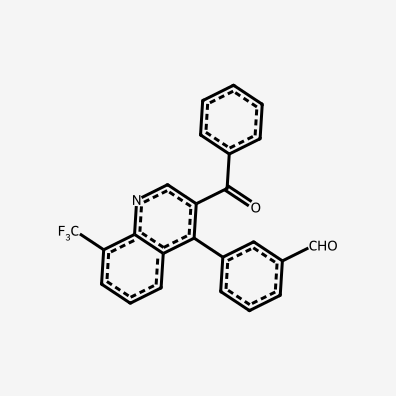 O=Cc1cccc(-c2c(C(=O)c3ccccc3)cnc3c(C(F)(F)F)cccc23)c1